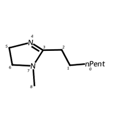 CCCCCCCC1=NCCN1C